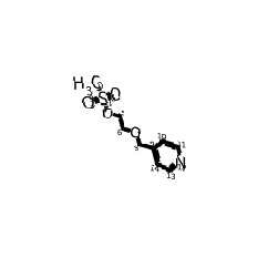 CS(=O)(=O)OCCOCc1ccncc1